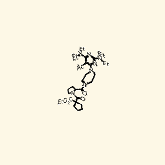 CCOC(=O)C1(C(=O)N2CCCC2C(=O)N2CCN(c3nc(N(CC)CC)nc(N(CC)CC)c3C(C)=O)CC2)CCCC1